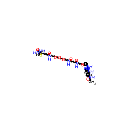 C=CC(=O)Nc1cccc(Nc2nc(Nc3cccc(OCCCNC(=O)CCCC(=O)NCCCOCCOCCOCCCNC(=O)CCCC[C@H]4SC[C@H]5NC(=O)N[C@H]54)c3)ncc2C)c1